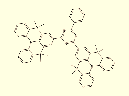 CC1(C)c2ccccc2N2c3ccccc3C(C)(C)c3cc(-c4nc(-c5ccccc5)nc(-c5cc6c7c(c5)C(C)(C)c5ccccc5N7c5ccccc5C6(C)C)n4)cc1c32